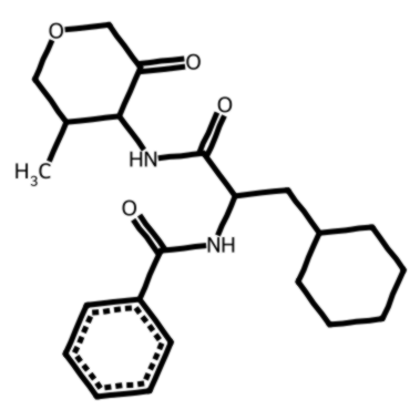 CC1COCC(=O)C1NC(=O)C(CC1CCCCC1)NC(=O)c1ccccc1